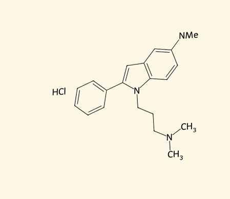 CNc1ccc2c(c1)cc(-c1ccccc1)n2CCCN(C)C.Cl